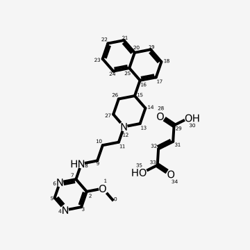 COc1cncnc1NCCCN1CCC(c2cccc3ccccc23)CC1.O=C(O)/C=C/C(=O)O